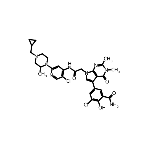 Cc1nc2c(c(-c3cc(Cl)c(O)c(C(N)=O)c3)cn2CC(=O)Nc2cc(N3CCN(CC4CC4)C[C@@H]3C)ncc2Cl)c(=O)n1C